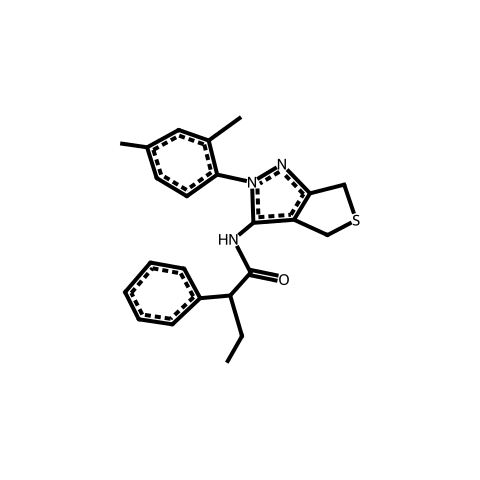 CCC(C(=O)Nc1c2c(nn1-c1ccc(C)cc1C)CSC2)c1ccccc1